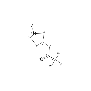 CN1CCC(CC(=O)C(C)(C)C)C1